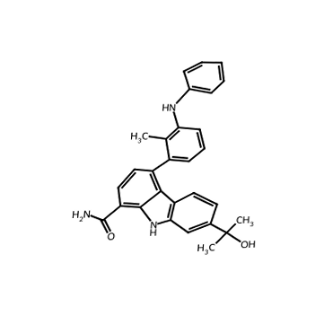 Cc1c(Nc2ccccc2)cccc1-c1ccc(C(N)=O)c2[nH]c3cc(C(C)(C)O)ccc3c12